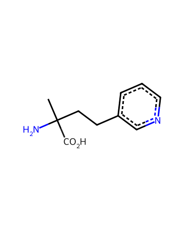 CC(N)(CCc1cccnc1)C(=O)O